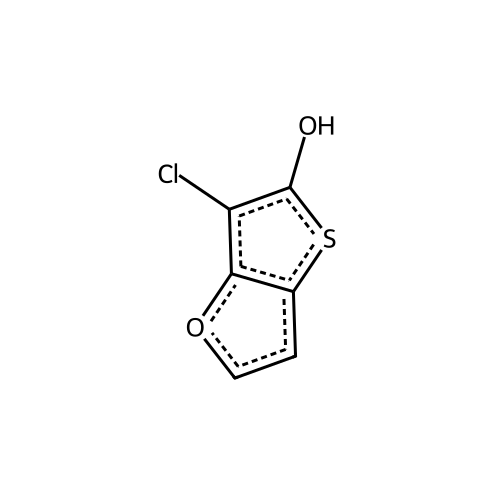 Oc1sc2ccoc2c1Cl